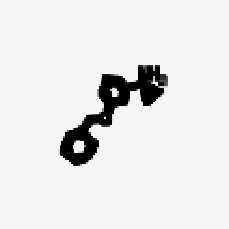 NC1(c2cccc(OCc3ccccc3)c2)CC1